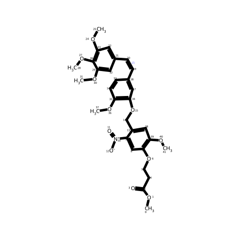 COC(=O)CCOc1cc([N+](=O)[O-])c(COc2cc(/C=C\c3cc(OC)c(OC)c(OC)c3)ccc2OC)cc1OC